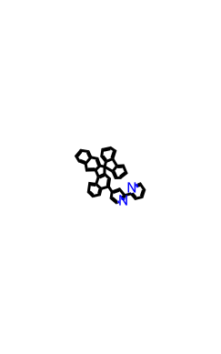 c1ccc(-c2cc(-c3cc4c(c5ccccc35)-c3cc5ccccc5cc3C43c4ccccc4-c4ccccc43)ccn2)nc1